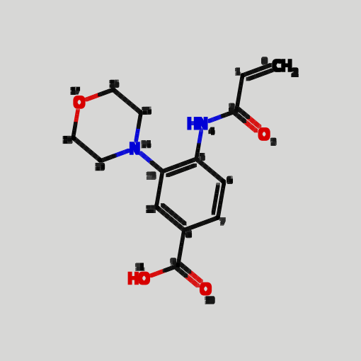 C=CC(=O)Nc1ccc(C(=O)O)cc1N1CCOCC1